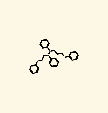 c1ccc(OCCCN(c2ccccc2)N(CCOc2ccccc2)c2ccccc2)cc1